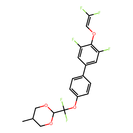 CC1COC(C(F)(F)Oc2ccc(-c3cc(F)c(OC=C(F)F)c(F)c3)cc2)OC1